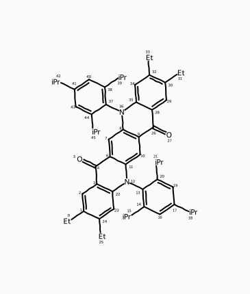 CCc1cc2c(=O)c3cc4c(cc3n(-c3c(C(C)C)cc(C(C)C)cc3C(C)C)c2cc1CC)c(=O)c1cc(CC)c(CC)cc1n4-c1c(C(C)C)cc(C(C)C)cc1C(C)C